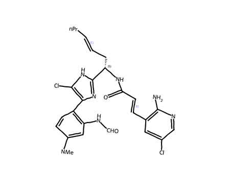 CCC/C=C/C[C@H](NC(=O)/C=C/c1cc(Cl)cnc1N)c1nc(-c2ccc(NC)cc2NC=O)c(Cl)[nH]1